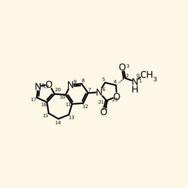 CNC(=O)[C@H]1CN(c2cnc3c(c2)CCCc2cnoc2-3)C(=O)O1